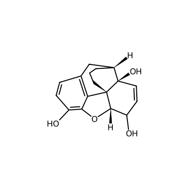 Oc1ccc2c3c1O[C@H]1C(O)C=C[C@@]4(O)[C@H](CCC[C@]314)C2